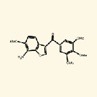 COc1cc(C(=O)c2coc3c(N)c(OC)ccc23)cc(OC)c1OC